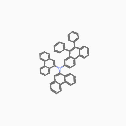 c1ccc(-c2c(-c3ccccc3)c3cc(N(c4cc5ccccc5c5ccccc45)c4cc5ccccc5c5ccccc45)ccc3c3ccccc23)cc1